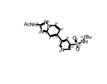 CC(=O)Nc1nc2cc(-c3cncc(S(=O)(=O)NC(C)(C)C)c3)ccn2n1